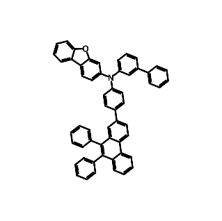 c1ccc(-c2cccc(N(c3ccc(-c4ccc5c(c4)c(-c4ccccc4)c(-c4ccccc4)c4ccccc45)cc3)c3ccc4c(c3)oc3ccccc34)c2)cc1